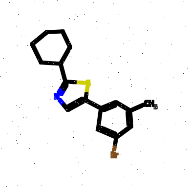 Cc1cc(Br)cc(-c2cnc(C3CCCCC3)s2)c1